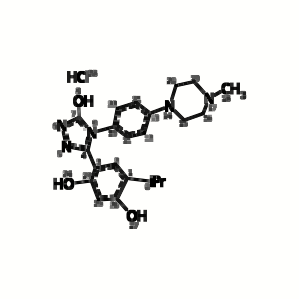 CC(C)c1cc(-c2nnc(O)n2-c2ccc(N3CCN(C)CC3)cc2)c(O)cc1O.Cl